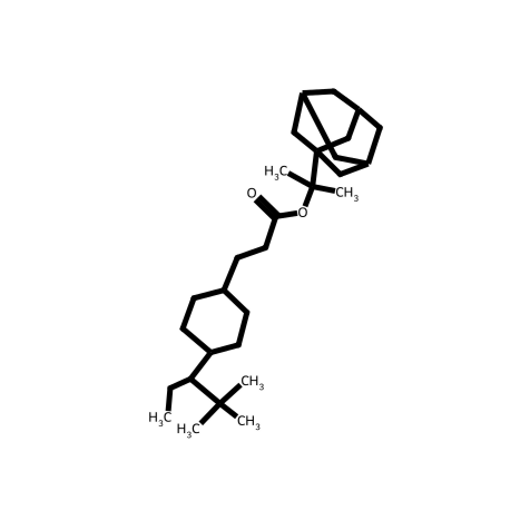 CCC(C1CCC(CCC(=O)OC(C)(C)C23CC4CC(CC(C4)C2)C3)CC1)C(C)(C)C